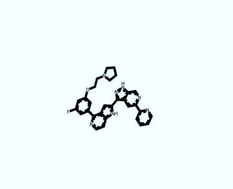 Fc1cc(OCCN2CCCC2)cc(-c2nccc3[nH]c(-c4n[nH]c5cnc(-c6ccccn6)cc45)cc23)c1